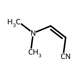 CN(C)/C=C\C#N